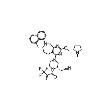 C=C(C(=O)N1CCN(c2nc(OC[C@@H]3CCCN3C)nc3c2CCCN(c2cccc4cccc(C)c24)C3)C[C@@H]1CC#N)C(F)(F)F